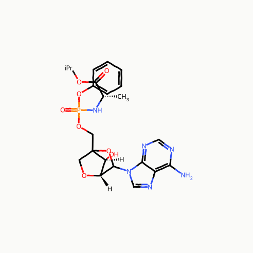 CC(C)OC(=O)[C@H](C)NP(=O)(OCC12CO[C@@H](C(n3cnc4c(N)ncnc43)O1)[C@@H]2O)Oc1ccccc1